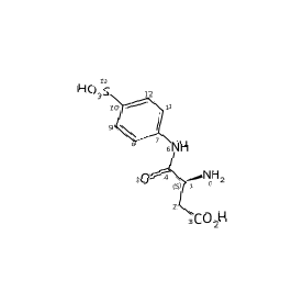 N[C@@H](CC(=O)O)C(=O)Nc1ccc(S(=O)(=O)O)cc1